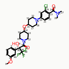 COc1cccc([C@@](O)(C(=O)N2CCC(OC3CCN(c4ccc(C(=O)N(C)C)c(Cl)c4)CC3)CC2)C(F)(F)F)c1